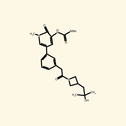 CNC(=O)Nc1cc(-c2cccc(CC(=O)N3CC(CC(C)(C)O)C3)c2)cn(C)c1=O